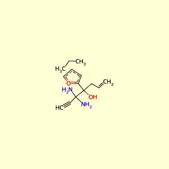 C#CC(N)(N)C(O)(CC=C)c1ccco1.CCC